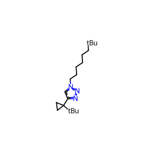 CC(C)(C)CCCCCCn1cc(C2(C(C)(C)C)CC2)nn1